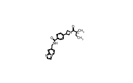 CC[C@H](C)C(=O)N1CC(c2ccc(C(=O)NCc3ccn4ccnc4c3)cc2)C1